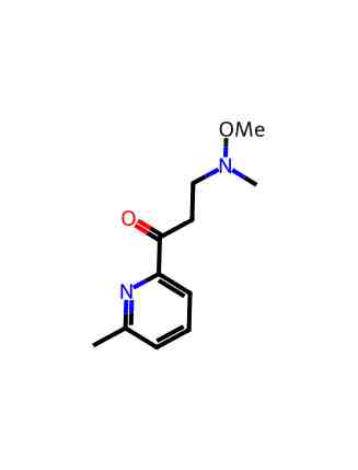 CON(C)CCC(=O)c1cccc(C)n1